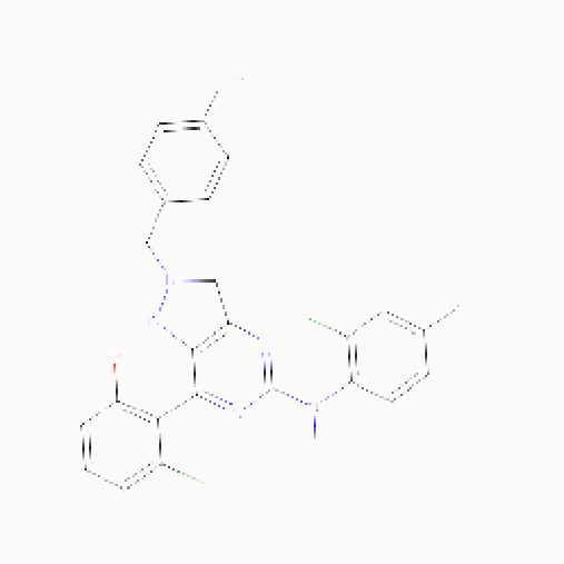 CCN(c1nc2c(c(-c3c(O)cccc3F)n1)NN(Cc1ccc(OC)cc1)C2)c1ccc(C(F)(F)F)cc1Cl